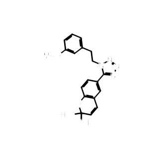 COc1cccc(CCn2nnnc2-c2ccc3c(c2)C=CC(C)(C)O3)c1